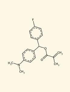 C=C(C)C(=O)OC(c1ccc(F)cc1)c1ccc(N(C)C)cc1